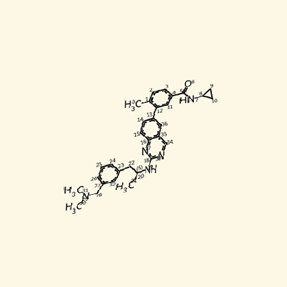 Cc1ccc(C(=O)NC2CC2)cc1-c1ccc2nc(N[C@@H](C)Cc3cccc(CN(C)C)c3)ncc2c1